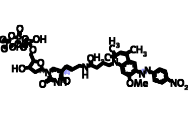 COc1cc2c(cc1/N=N/c1ccc([N+](=O)[O-])cc1)C(C)=CC(C)(C)N2CCCC(=O)NC/C=C/c1cn([C@H]2CC(O)C(COP(=O)(O)OP(=O)(O)OP(=O)(O)O)O2)c(=O)[nH]c1=O